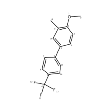 COc1ccc(-c2ccc(C(F)(F)F)cc2)cc1C